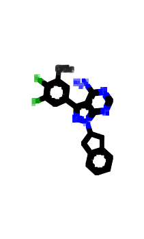 COc1cc(-c2nn(C3Cc4ccccc4C3)c3ncnc(N)c23)cc(F)c1F